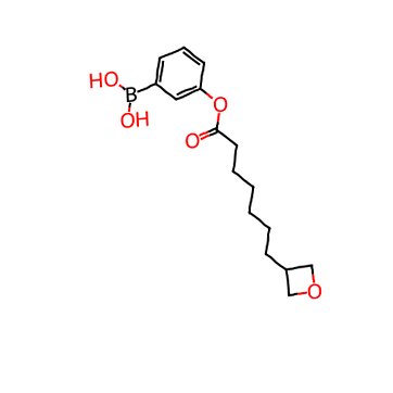 O=C(CCCCCCC1COC1)Oc1cccc(B(O)O)c1